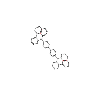 C1=CCCC(N(c2ccc(-c3ccc(N(c4ccccc4)c4ccccc4-c4ccccc4)cc3)cc2)c2ccccc2-c2ccccc2)=C1